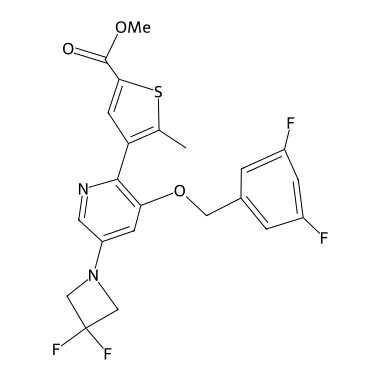 COC(=O)c1cc(-c2ncc(N3CC(F)(F)C3)cc2OCc2cc(F)cc(F)c2)c(C)s1